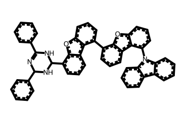 c1ccc(C2=NC(c3ccccc3)NC(c3cccc4c3oc3cccc(-c5cccc6c5oc5cccc(-n7c8ccccc8c8ccccc87)c56)c34)N2)cc1